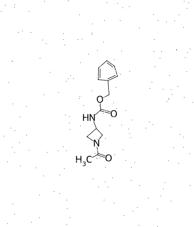 CC(=O)N1CC(NC(=O)OCc2ccccc2)C1